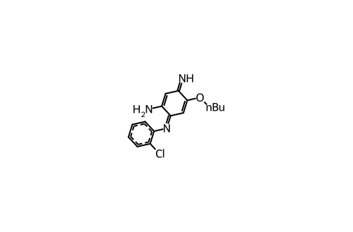 CCCCOC1=C/C(=N/c2ccccc2Cl)C(N)=CC1=N